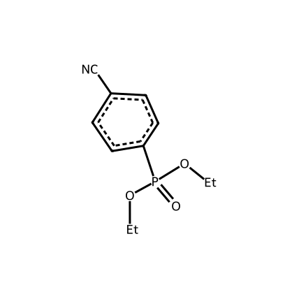 CCOP(=O)(OCC)c1ccc(C#N)cc1